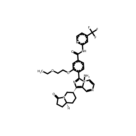 CCOCCOc1cc(C(=O)Nc2cc(C(F)(F)F)ccn2)ccc1C1=NC([C@@H]2CC[C@H]3CCC(=O)N3C2)=C2C=NC=C[N+]12N